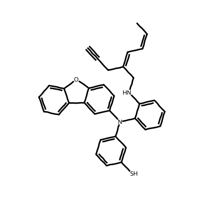 C#CC/C(=C/C=C\C)CNc1ccccc1N(c1cccc(S)c1)c1ccc2oc3ccccc3c2c1